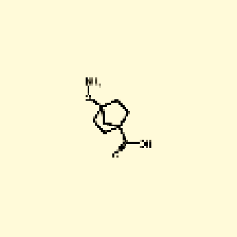 NOC12CCC(C(=O)O)(CC1)C2